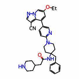 CCOc1cc(-c2ccc(N3CCC(Cc4ccccc4)(NC(=O)CC4CCNCC4)CC3)nc2)c2c(C#N)cnn2c1